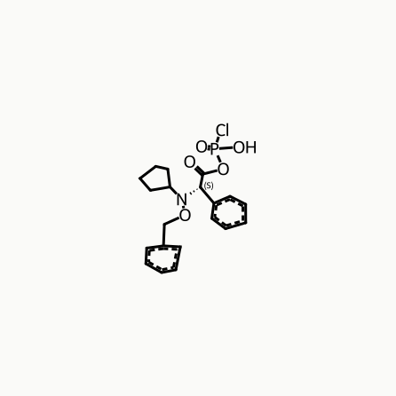 O=C(OP(=O)(O)Cl)[C@H](c1ccccc1)N(OCc1ccccc1)C1CCCC1